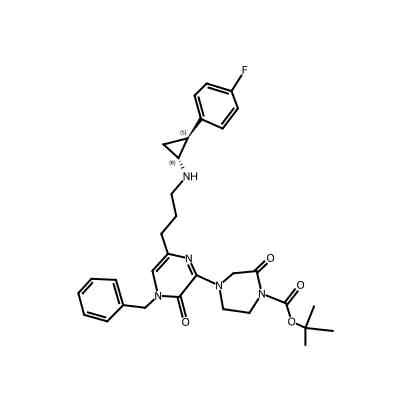 CC(C)(C)OC(=O)N1CCN(c2nc(CCCN[C@@H]3C[C@H]3c3ccc(F)cc3)cn(Cc3ccccc3)c2=O)CC1=O